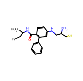 CC(C)CC(NC(=O)c1ccc(NCC(N)CS)cc1-c1ccccc1)C(=O)O